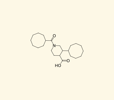 O=C(O)C1CCN(C(=O)C2CCCCCCC2)CC1C1CCCCCCC1